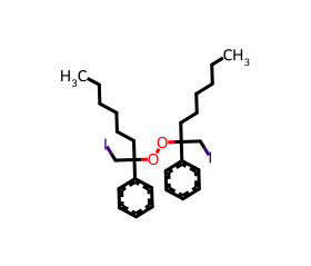 CCCCCCC(CI)(OOC(CI)(CCCCCC)c1ccccc1)c1ccccc1